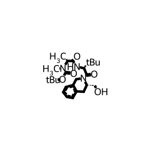 C[C@@H](C(=O)N[C@H](C(=O)N1Cc2ccccc2C[C@H]1CO)C(C)(C)C)N(C)C(=O)OC(C)(C)C